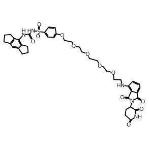 O=C1CCC(N2C(=O)c3cccc(NCCOCCOCCOCCOCCOc4ccc(S(=O)(=O)NC(=O)Nc5c6c(cc7c5CCC7)CCC6)cc4)c3C2=O)C(=O)N1